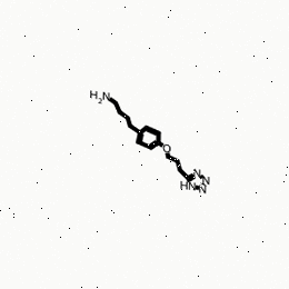 NCCCCc1ccc(OCCCc2nnn[nH]2)cc1